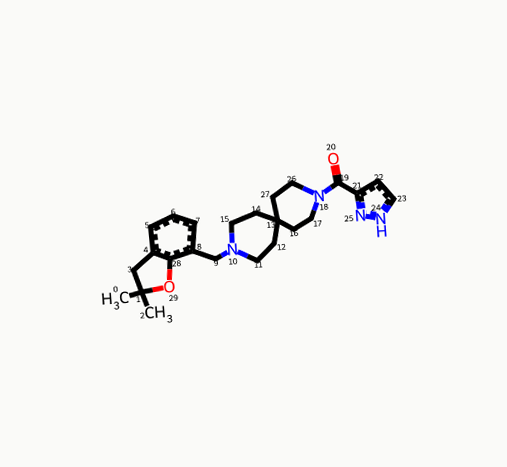 CC1(C)Cc2cccc(CN3CCC4(CC3)CCN(C(=O)c3cc[nH]n3)CC4)c2O1